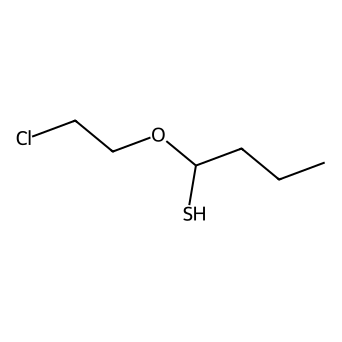 CCCC(S)OCCCl